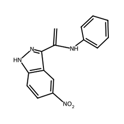 C=C(Nc1ccccc1)c1n[nH]c2ccc([N+](=O)[O-])cc12